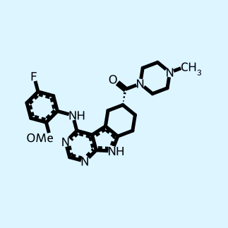 COc1ccc(F)cc1Nc1ncnc2[nH]c3c(c12)C[C@H](C(=O)N1CCN(C)CC1)CC3